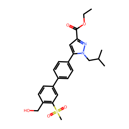 CCOC(=O)c1cc(-c2ccc(-c3ccc(CO)c(S(C)(=O)=O)c3)cc2)n(CC(C)C)n1